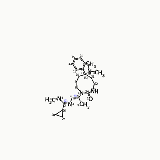 C=N/C(=N\C=C(/C)N1CCC[C@](c2ccccc2)(N(C)C)CCNC1=O)C1CC1